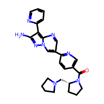 Nc1nn2cc(-c3ccc(C(=O)N4CCC[C@@H]4CN4CCCC4)cn3)cnc2c1-c1ccccn1